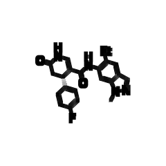 CCc1cc2cnn(C)c2cc1NC(=O)C1=CNC(=O)C[C@H]1c1ccc(F)cc1